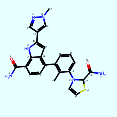 Cc1c(-c2ccc(C(N)=O)c3[nH]c(-c4cnn(C)c4)cc23)cccc1N1C=CSC1C(N)=O